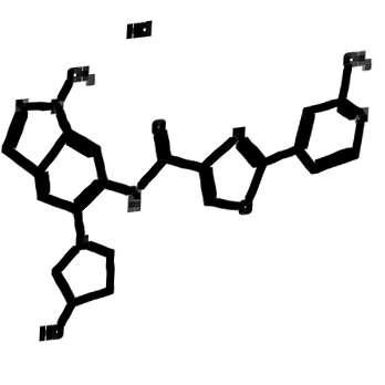 Cc1cc(-c2nc(C(=O)Nc3cc4c(cnn4C)cc3N3CCC(O)C3)co2)ccn1.Cl